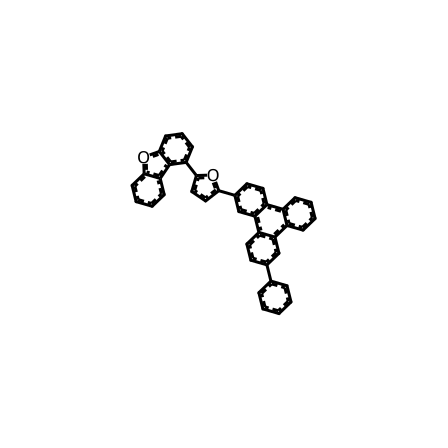 c1ccc(-c2ccc3c(c2)c2ccccc2c2ccc(-c4ccc(-c5cccc6oc7ccccc7c56)o4)cc23)cc1